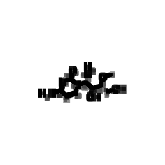 CO[C@H](CO)[C@@H](O)[C@@H](N)n1ccc(N)nc1=O